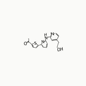 CC(=O)c1ccc(-c2cccc(Nc3cc(CCO)ccn3)n2)s1